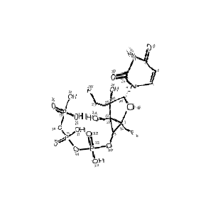 O=c1ccn([C@@H]2O[C@]3(F)C(OP(=O)(O)OP(=O)(O)OP(=O)(O)O)[C@]3(O)[C@]2(O)CF)c(=O)[nH]1